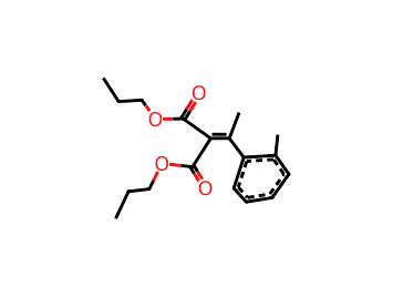 CCCOC(=O)C(C(=O)OCCC)=C(C)c1ccccc1C